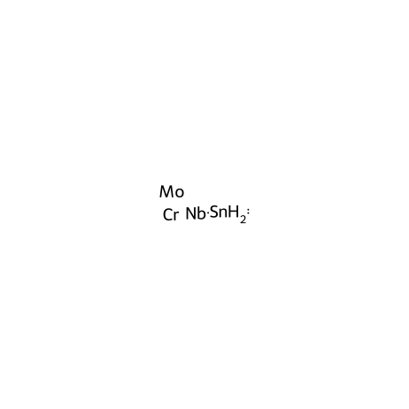 [Cr].[Mo].[Nb].[SnH2]